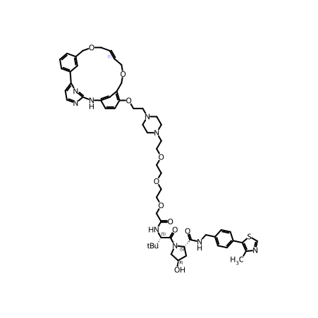 Cc1ncsc1-c1ccc(CNC(=O)[C@@H]2C[C@@H](O)CN2C(=O)[C@@H](NC(=O)COCCOCCOCCN2CCN(CCOc3ccc4cc3COC/C=C/COCc3cccc(c3)-c3ccnc(n3)N4)CC2)C(C)(C)C)cc1